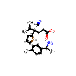 CC(C)[C@@](C#N)(CCC(=O)O)c1cccs1.Cc1ccc(C(C)N)cc1